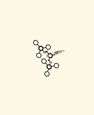 CC(=Nc1c(C2CCCCC2)cc(C2CCCCC2)cc1C1CCCCC1)c1cc(C)cc(C(C)=Nc2c(C3CCCCC3)cc(C3CCCCC3)cc2C2CCCCC2)n1.[Cl-].[Cl-].[Cl-].[V+3]